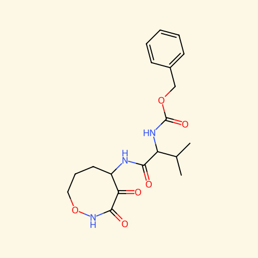 CC(C)C(NC(=O)OCc1ccccc1)C(=O)NC1CCCONC(=O)C1=O